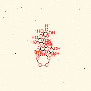 O=S(=O)(OC1COCCOCCOCCOCCO1)O[C@H]1C(O)[C@H](O[C@@H]2OC(CO)[C@@H](O)C(O)[C@@H]2O)C(CO)O[C@H]1O[C@@H]1C(CO)O[C@@H](O[C@@H]2C(CO)O[C@@H](O)[C@@H](O)C2O)[C@@H](O)C1O